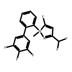 C[N+]1(c2ccccc2-c2cc(F)c(F)c(F)c2)N=C(C(F)F)[C]=C1F